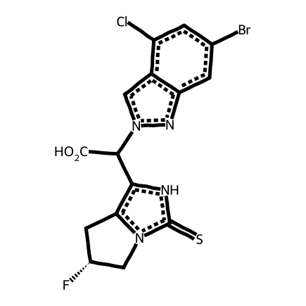 O=C(O)C(c1[nH]c(=S)n2c1C[C@@H](F)C2)n1cc2c(Cl)cc(Br)cc2n1